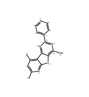 Cc1cc(C)c2c(n1)sc1c(O)nc(-c3ccncc3)nc12